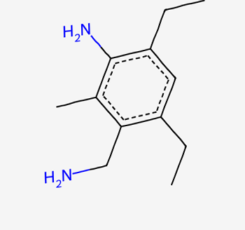 CCc1cc(CC)c(CN)c(C)c1N